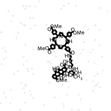 COC(=O)c1ccc(-c2c3nc(c(-c4ccc(C(=O)OC)cc4)c4ccc([nH]4)c(-c4ccc(C(=O)OC)cc4)c4nc(c(-c5ccc(C(=O)NCCCCCC(=O)N[C@H]6C[C@H](O[C@H]7C[C@](O)(C(=O)CO)Cc8c(O)c9c(c(O)c87)C(=O)c7c(OC)cccc7C9=O)O[C@@H](C)[C@H]6O)cc5)c5ccc2[nH]5)C=C4)C=C3)cc1